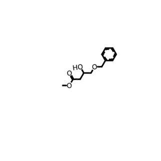 COC(=O)CC(O)COCc1ccccc1